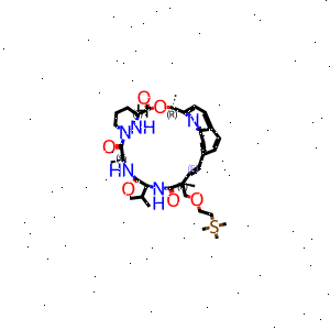 CC(C)C1NC(=O)[C@@](C)(COCCS(C)(C)C)/C=C/c2ccc3ccc(nc3c2)[C@@H](C)OC(=O)[C@@H]2CCCN(N2)C(=O)[C@H](C)NC1=O